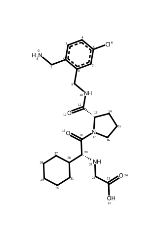 NCc1ccc(Cl)cc1CNC(=O)[C@@H]1CCCN1C(=O)[C@H](NCC(=O)O)C1CCCCC1